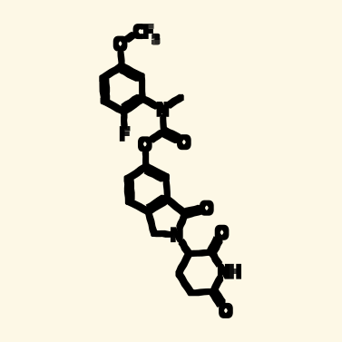 CN(C(=O)Oc1ccc2c(c1)C(=O)N(C1CCC(=O)NC1=O)C2)c1cc(OC(F)(F)F)ccc1F